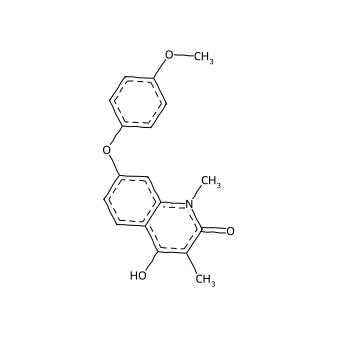 COc1ccc(Oc2ccc3c(O)c(C)c(=O)n(C)c3c2)cc1